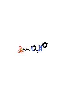 C/C(=N/N(C)c1ccccc1)c1ccc[n+](CCCCS(=O)(=O)[O-])c1